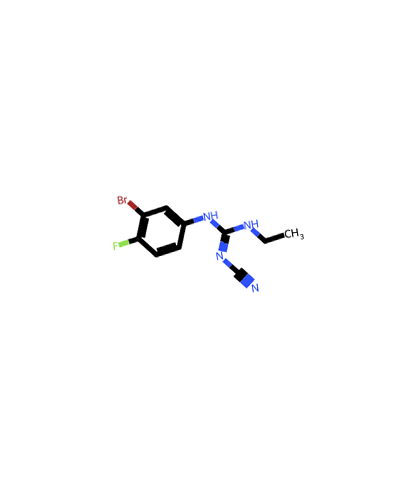 CCNC(=NC#N)Nc1ccc(F)c(Br)c1